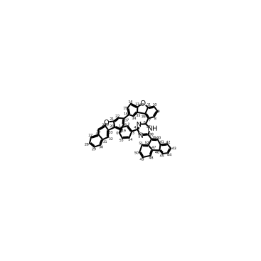 c1ccc(C2=NC(c3cccc4oc5ccc(-c6ccc7c(c6)oc6cc8ccccc8cc67)cc5c34)NC(c3cc4ccccc4c4ccccc34)=N2)cc1